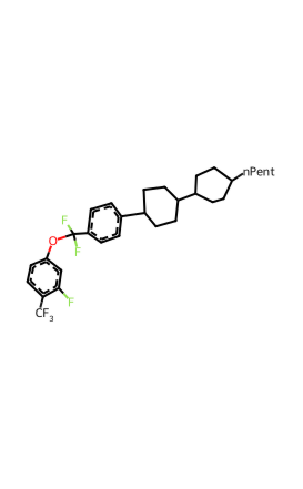 CCCCCC1CCC(C2CCC(c3ccc(C(F)(F)Oc4ccc(C(F)(F)F)c(F)c4)cc3)CC2)CC1